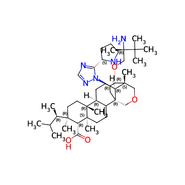 CC(C)[C@@H](C)[C@@]1(C)CC[C@]2(C)[C@H]3CC[C@@H]4[C@@]5(COC[C@@]4(C)[C@@H](OC[C@](C)(N)C(C)(C)C)[C@H](n4ncnc4[C@@H]4CCCN4)C5)C3=CC[C@@]2(C)[C@@H]1C(=O)O